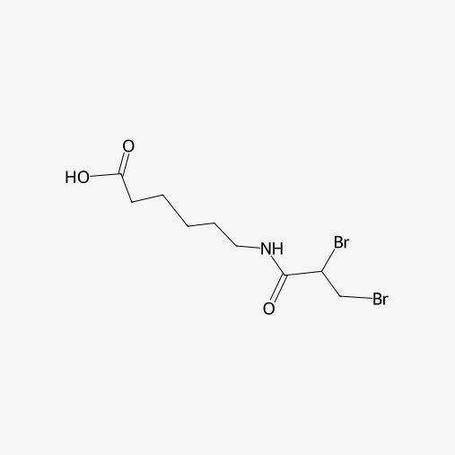 O=C(O)CCCCCNC(=O)C(Br)CBr